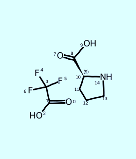 O=C(O)C(F)(F)F.O=C(O)[C@@H]1CCCN1